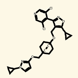 Clc1cncc(Cl)c1-c1noc(C2CC2)c1COC12CCC(COc3ccn(C4CC4)n3)(CC1)CC2